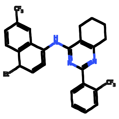 CCC1C=C=C(Nc2nc(-c3ccccc3C(F)(F)F)nc3c2CCCC3)c2cc(C(F)(F)F)ccc21